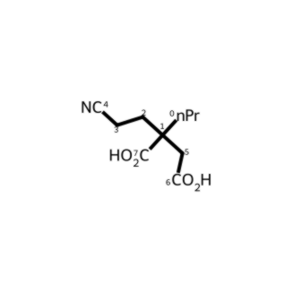 CCCC(CCC#N)(CC(=O)O)C(=O)O